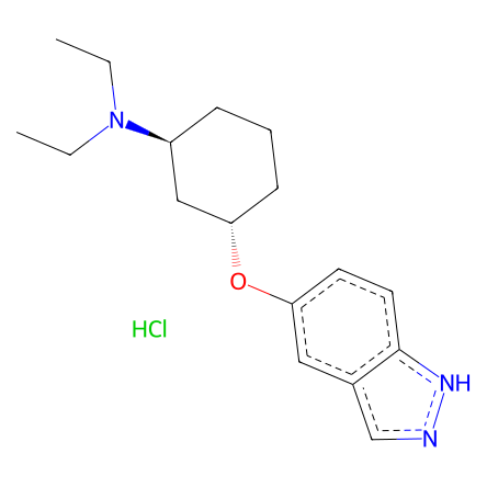 CCN(CC)[C@H]1CCC[C@H](Oc2ccc3[nH]ncc3c2)C1.Cl